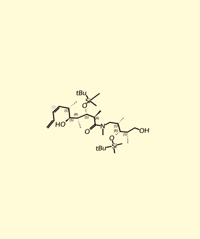 C=C/C=C\[C@H](C)[C@H](O)[C@@H](C)[C@H](O[Si](C)(C)C(C)(C)C)[C@@H](C)C(=O)N(C)C[C@H](C)[C@@H](O[Si](C)(C)C(C)(C)C)[C@@H](C)CO